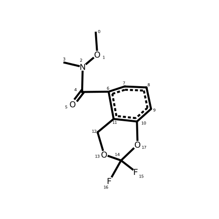 CON(C)C(=O)c1cccc2c1COC(F)(F)O2